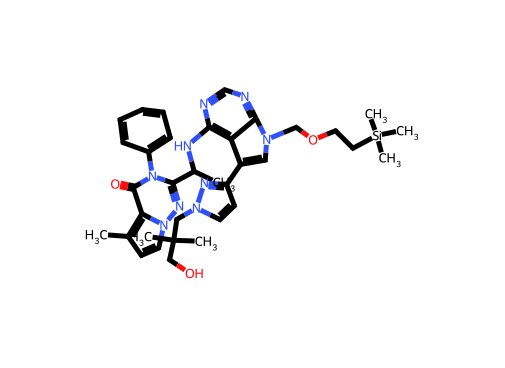 Cc1ccn2nc(C(C)Nc3ncnc4c3c(-c3ccn(CC(C)(C)CO)n3)cn4COCC[Si](C)(C)C)n(-c3ccccc3)c(=O)c12